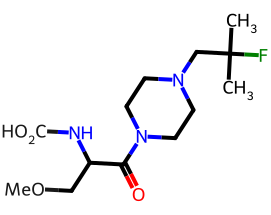 COCC(NC(=O)O)C(=O)N1CCN(CC(C)(C)F)CC1